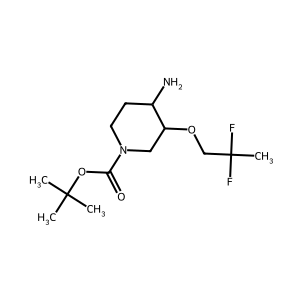 CC(F)(F)COC1CN(C(=O)OC(C)(C)C)CCC1N